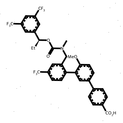 CC[C@H](OC(=O)N(C)Cc1cc(C(F)(F)F)ccc1-c1cc(-c2ccc(C(=O)O)cc2)ccc1OC)c1cc(C(F)(F)F)cc(C(F)(F)F)c1